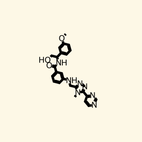 COc1cccc(C(CO)NC(=O)c2cccc(NCc3nnc(-c4ccncn4)n3C)c2)c1